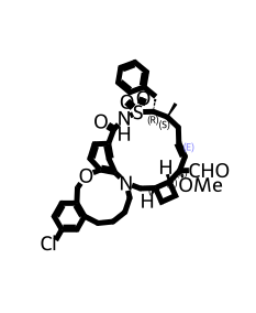 CO[C@@]1(C=O)/C=C/C[C@H](C)[C@@H](Cc2ccccc2)S(=O)(=O)NC(=O)c2ccc3c(c2)N(CCCCc2cc(Cl)ccc2CO3)C[C@@H]2CC[C@H]21